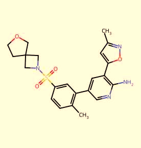 Cc1cc(-c2cc(-c3cc(S(=O)(=O)N4CC5(CCOC5)C4)ccc3C)cnc2N)on1